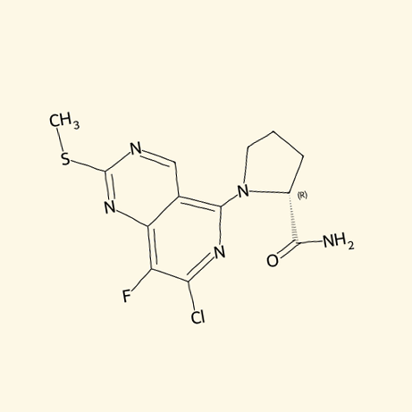 CSc1ncc2c(N3CCC[C@@H]3C(N)=O)nc(Cl)c(F)c2n1